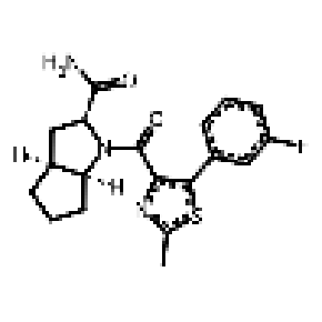 Cc1nc(C(=O)N2[C@H](C(N)=O)C[C@@H]3CCC[C@@H]32)c(-c2cccc(F)c2)s1